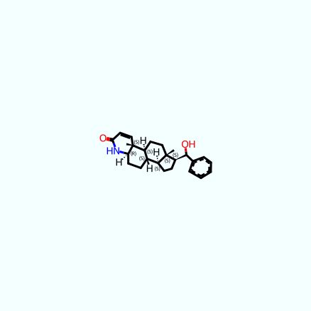 C[C@]12C=CC(=O)N[C@@H]1CC[C@@H]1[C@@H]2CC[C@]2(C)[C@@H](C(O)c3ccccc3)CC[C@@H]12